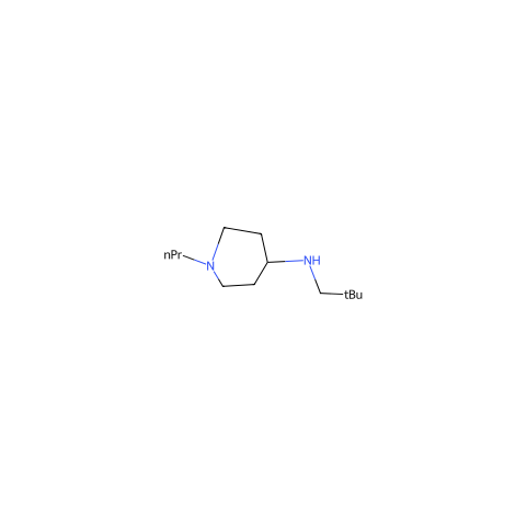 CCCN1CCC(NCC(C)(C)C)CC1